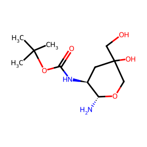 CC(C)(C)OC(=O)N[C@H]1CC(O)(CO)CO[C@@H]1N